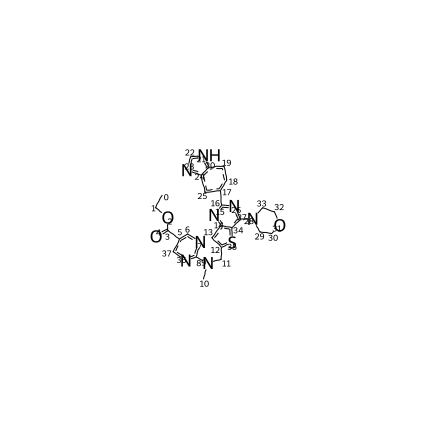 CCOC(=O)c1cnc(N(C)Cc2cc3nc(-c4ccc5[nH]cnc5c4)nc(N4CCOCC4)c3s2)nc1